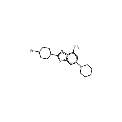 Cc1cc(N2CCCCC2)cc2sc(N3CCN(C(C)C)CC3)nc12